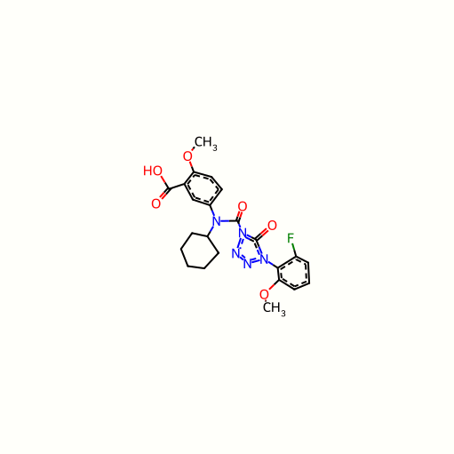 COc1ccc(N(C(=O)n2nnn(-c3c(F)cccc3OC)c2=O)C2CCCCC2)cc1C(=O)O